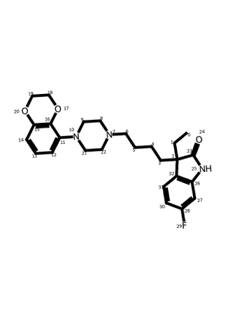 CCC1(CCCCN2CCN(c3cccc4c3OCCO4)CC2)C(=O)Nc2cc(F)ccc21